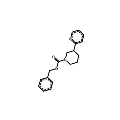 O=C(OCc1ccccc1)N1CCCC(c2ccccn2)C1